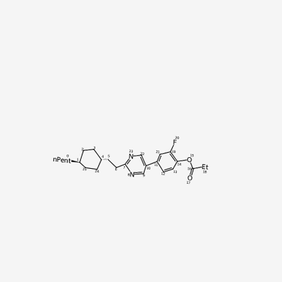 CCCCC[C@H]1CC[C@H](CCc2ncc(-c3ccc(OC(=O)CC)c(F)c3)cn2)CC1